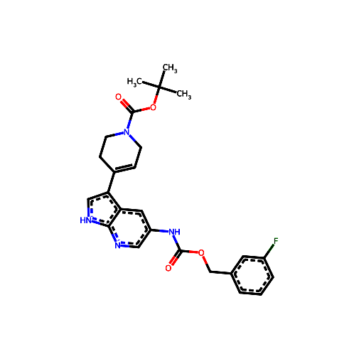 CC(C)(C)OC(=O)N1CC=C(c2c[nH]c3ncc(NC(=O)OCc4cccc(F)c4)cc23)CC1